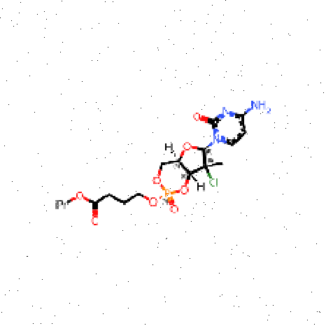 CC(C)OC(=O)CCCO[P@]1(=O)OC[C@H]2O[C@@H](n3ccc(N)nc3=O)[C@](C)(Cl)[C@@H]2O1